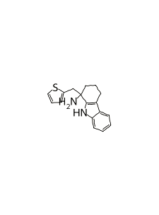 NC1(Cc2cccs2)CCCc2c1[nH]c1ccccc21